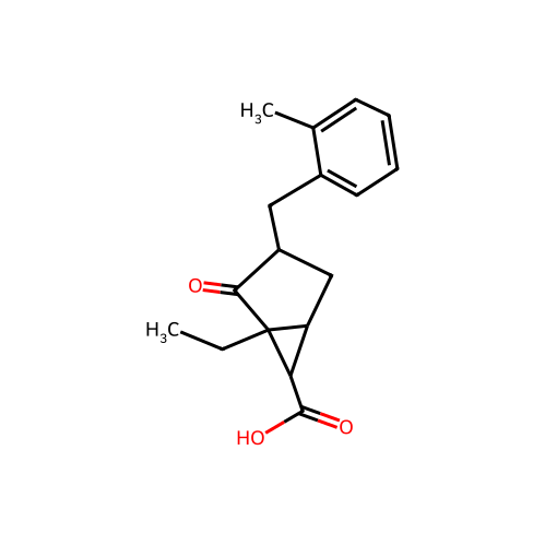 CCC12C(=O)C(Cc3ccccc3C)CC1C2C(=O)O